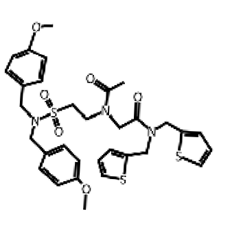 COc1ccc(CN(Cc2ccc(OC)cc2)S(=O)(=O)CCN(CC(=O)N(Cc2cccs2)Cc2cccs2)C(C)=O)cc1